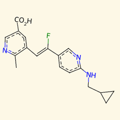 Cc1ncc(C(=O)O)cc1/C=C(\F)c1ccc(NCC2CC2)nc1